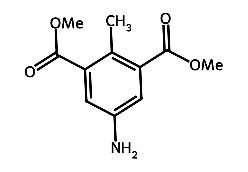 COC(=O)c1cc(N)cc(C(=O)OC)c1C